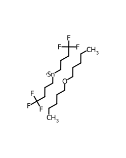 CCCCCOCCCCC.FC(F)(F)CC[CH2][Sn][CH2]CCC(F)(F)F